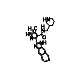 Cc1[nH]nc(-c2nc3cc4ccccc4cc3[nH]2)c1C(=O)NCC1CCCNC1